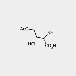 CC(=O)OCC[C@H](N)C(=O)O.Cl